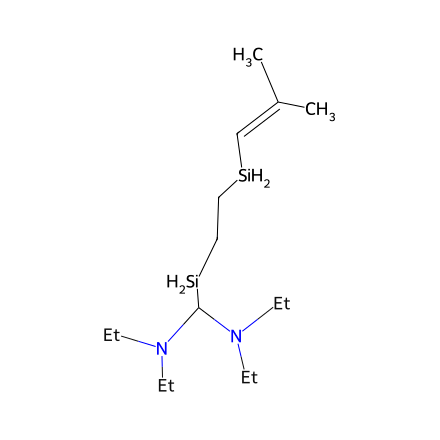 CCN(CC)C([SiH2]CC[SiH2]C=C(C)C)N(CC)CC